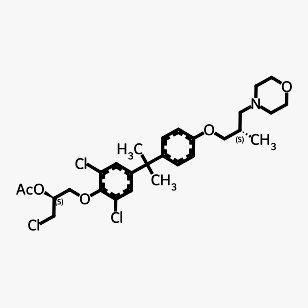 CC(=O)O[C@H](CCl)COc1c(Cl)cc(C(C)(C)c2ccc(OC[C@@H](C)CN3CCOCC3)cc2)cc1Cl